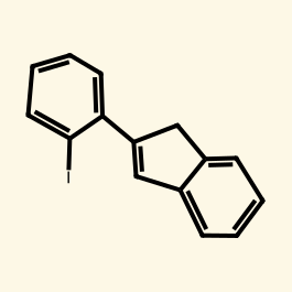 Ic1ccccc1C1=Cc2ccccc2C1